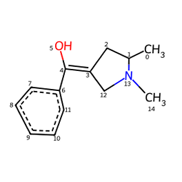 CC1CC(=C(O)c2ccccc2)CN1C